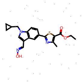 CCOC(=O)c1sc(-c2ccc3c(c2)c(C=NO)cn3CC2CC2)nc1C